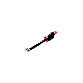 CCCCCCCCCCCCCCCCCC(=O)O[C@H]1CC[C@H]2[C@@H]3CCc4cc(O)ccc4[C@H]3CC[C@]12C